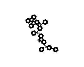 CC1(C)c2cc(N(c3ccccc3)c3ccc(-c4ccccc4)cc3)ccc2-c2ccc(N(c3ccccc3)c3ccc4c(c3)c3c5c(ccc3n4-c3ccccc3)C3(c4ccccc4-c4ccccc43)c3ccccc3-5)cc21